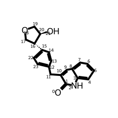 O=c1[nH]c2ccccc2cc1Cc1ccc([C@@H]2COC[C@H]2O)cc1